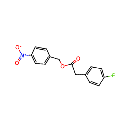 O=C(Cc1ccc(F)cc1)OCc1ccc([N+](=O)[O-])cc1